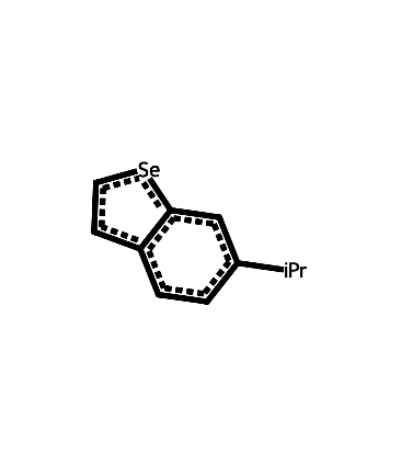 CC(C)c1ccc2cc[se]c2c1